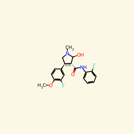 COc1ccc([C@H]2CN(C)C(O)[C@@H]2C(=O)Nc2ccccc2F)cc1F